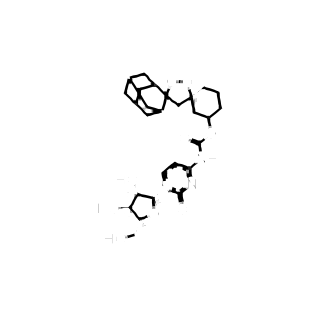 O=C(Nc1ccn([C@@H]2O[C@H](CO)[C@@H](O)[C@@H]2O)c(=O)n1)OC1CCC[C@@]2(C1)CC1(OO2)C2CC3CC(C2)CC1C3